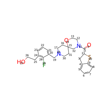 O=C(C1Cc2ccccc2S1)N1CCOC2(CCN(Cc3cccc(CCO)c3F)CC2)C1